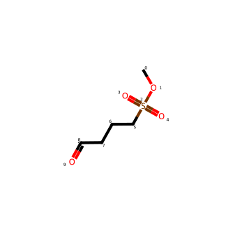 COS(=O)(=O)CCC[C]=O